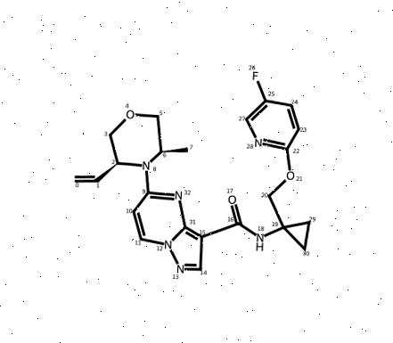 C=C[C@H]1COC[C@@H](C)N1c1ccn2ncc(C(=O)NC3(COc4ccc(F)cn4)CC3)c2n1